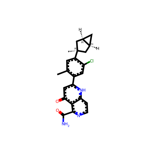 Cc1cc([C@@]2(C)C[C@H]3C[C@H]3C2)c(Cl)cc1-c1cc(=O)c2c(C(N)=O)nccc2[nH]1